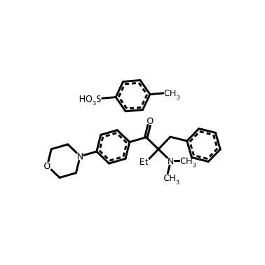 CCC(Cc1ccccc1)(C(=O)c1ccc(N2CCOCC2)cc1)N(C)C.Cc1ccc(S(=O)(=O)O)cc1